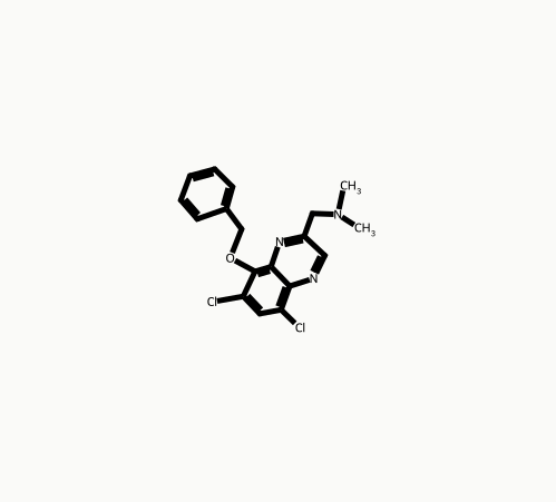 CN(C)Cc1cnc2c(Cl)cc(Cl)c(OCc3ccccc3)c2n1